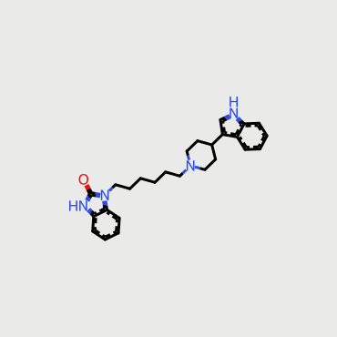 O=c1[nH]c2ccccc2n1CCCCCCN1CCC(c2c[nH]c3ccccc23)CC1